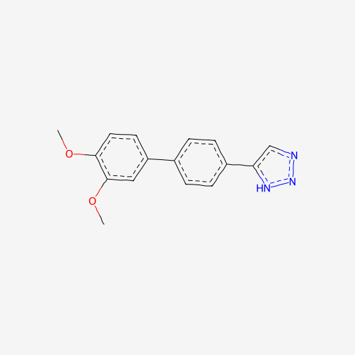 COc1ccc(-c2ccc(-c3cnn[nH]3)cc2)cc1OC